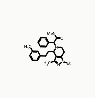 CCn1nc(C)c2c1CCN(C(C(=O)NC)c1ccccc1)C2CCc1cccc(C)c1